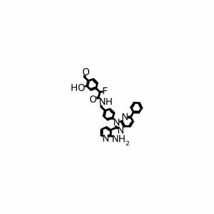 Nc1ncccc1-c1nc2ccc(-c3ccccc3)nc2n1-c1ccc(CNC(=O)C(F)c2ccc(C=O)c(O)c2)cc1